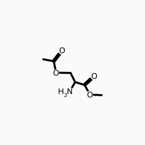 COC(=O)C(N)COC(C)=O